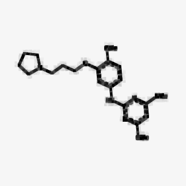 CNc1cc(OC)nc(Nc2ccc(OC)c(OCCCN3CCCC3)c2)n1